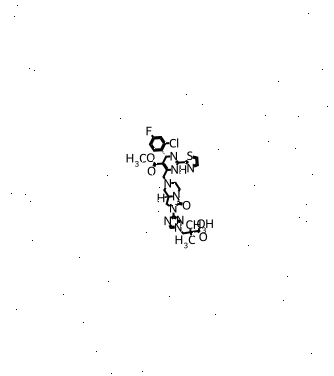 COC(=O)C1=C(CN2CCN3C(=O)N(c4ncn(CC(C)(C)C(=O)O)n4)C[C@@H]3C2)NC(c2nccs2)=N[C@H]1c1ccc(F)cc1Cl